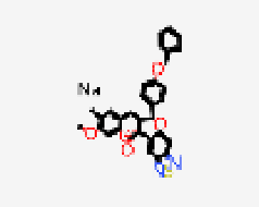 COc1ccc(CC(C(=O)c2ccc(OCc3ccccc3)cc2)=C(C(=O)[O-])c2ccc3nsnc3c2)cc1C.[Na+]